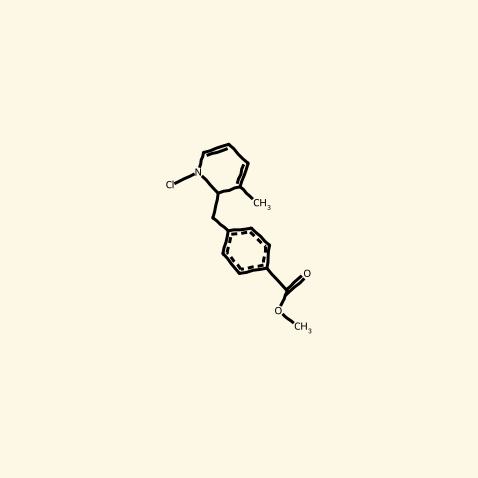 COC(=O)c1ccc(CC2C(C)=CC=CN2Cl)cc1